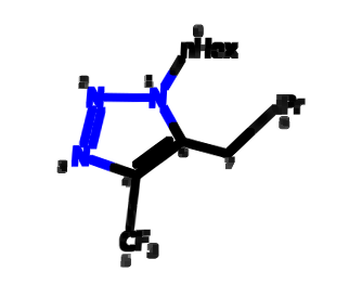 CCCCCCn1nnc(C(F)(F)F)c1CC(C)C